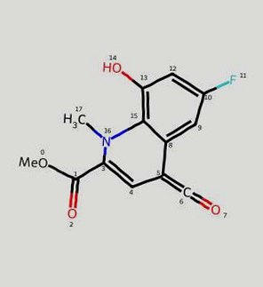 COC(=O)C1=CC(=C=O)c2cc(F)cc(O)c2N1C